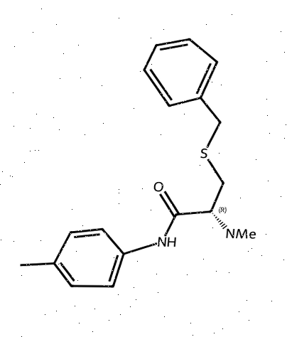 CN[C@@H](CSCc1ccccc1)C(=O)Nc1ccc(C)cc1